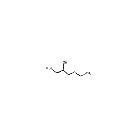 CCSCC(O)CN